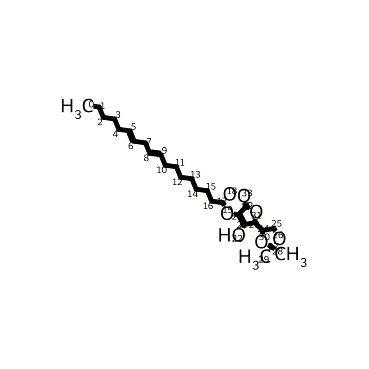 CCCCCC=CCC=CCCCCCCCC(=O)OC1=C(O)C(C2COC(C)(C)O2)OC1=O